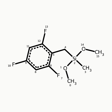 CO[Si](C)(Cc1c(F)cc(F)cc1F)OC